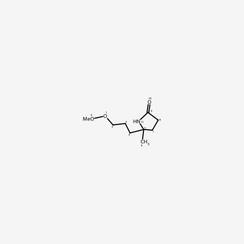 COOCCCC1(C)CCC(=O)N1